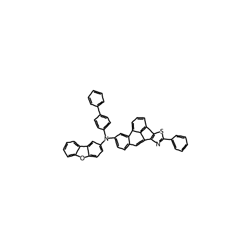 c1ccc(-c2ccc(N(c3ccc4cc5c6c(cccc6c4c3)-c3sc(-c4ccccc4)nc3-5)c3ccc4oc5ccccc5c4c3)cc2)cc1